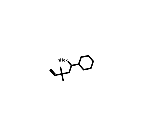 C=CC(C)(C)CC(CCCCCC)C1CCCCC1